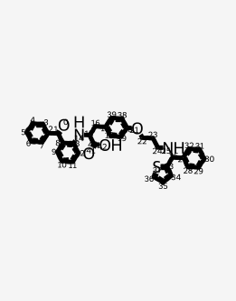 O=C(c1ccccc1)c1ccccc1NC(Cc1ccc(OCCCN[C@@H](c2ccccc2)c2cccs2)cc1)C(=O)O